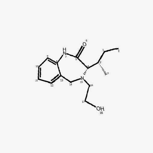 CC[C@H](C)[C@H]1C(=O)Nc2ccccc2CN1CCO